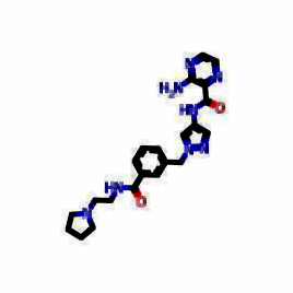 Nc1nccnc1C(=O)Nc1cnn(Cc2cccc(C(=O)NCCN3CCCC3)c2)c1